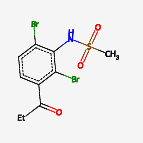 CCC(=O)c1ccc(Br)c(NS(C)(=O)=O)c1Br